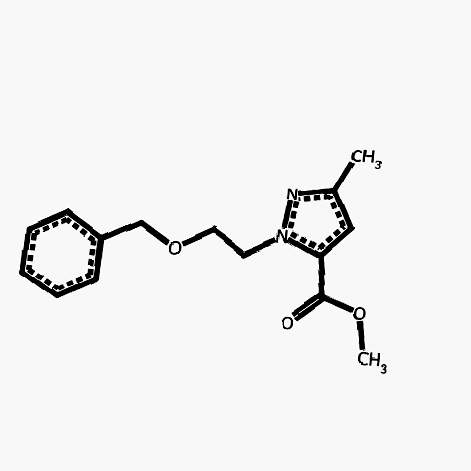 COC(=O)c1cc(C)nn1CCOCc1ccccc1